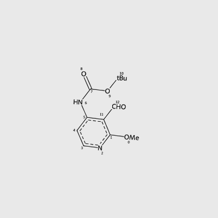 COc1nccc(NC(=O)OC(C)(C)C)c1C=O